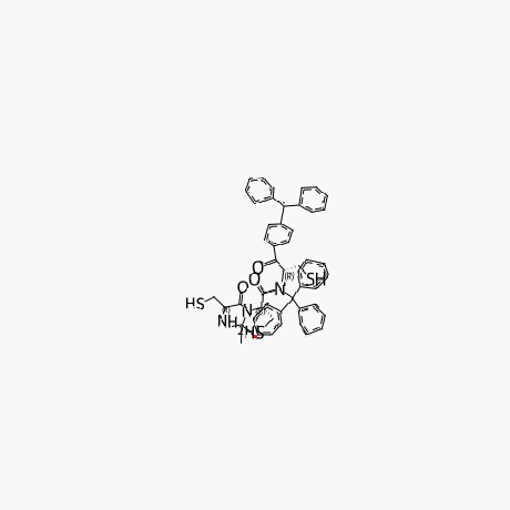 CC(C)(C)N(C(=O)[C@@H](N)CS)[C@@H](CS)C(=O)N([C@@H](CS)C(=O)c1ccc([C](c2ccccc2)c2ccccc2)cc1)C(c1ccccc1)(c1ccccc1)c1ccccc1